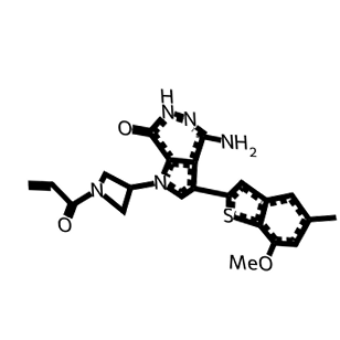 C=CC(=O)N1CC(n2cc(-c3cc4cc(C)cc(OC)c4s3)c3c(N)n[nH]c(=O)c32)C1